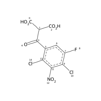 O=C(O)C(C(=O)O)C(=O)c1cc(F)c(Cl)c([N+](=O)[O-])c1Cl